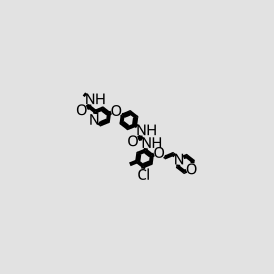 CNC(=O)c1cc(Oc2ccc(NC(=O)Nc3cc(C)c(Cl)cc3OCCN3CCOCC3)cc2)ccn1